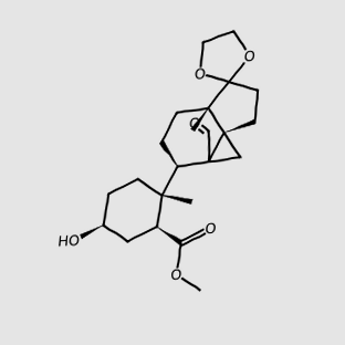 COC(=O)[C@H]1C[C@@H](O)CC[C@]1(C)[C@H]1CC[C@]2(C)C3(CC[C@]24CC14C=O)OCCO3